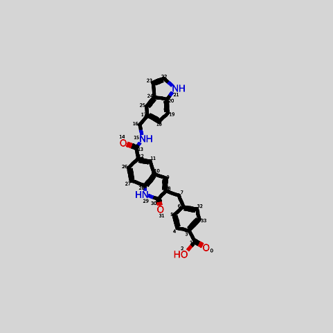 O=C(O)c1ccc(Cc2cc3cc(C(=O)NCc4ccc5[nH]ccc5c4)ccc3[nH]c2=O)cc1